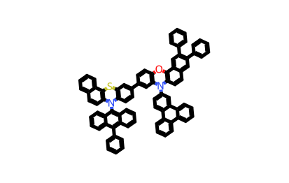 c1ccc(-c2cc3ccc4c(c3cc2-c2ccccc2)Oc2ccc(-c3ccc5c(c3)Sc3c(ccc6ccccc36)N5c3c5ccccc5c(-c5ccccc5)c5ccccc35)cc2N4c2ccc3c4ccccc4c4ccccc4c3c2)cc1